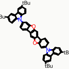 CC(C)(C)c1ccc2c(c1)c1cc(C(C)(C)C)ccc1n2-c1ccc2c(c1)oc1cc3c(cc12)oc1cc(-n2c4ccc(C(C)(C)C)cc4c4cc(C(C)(C)C)ccc42)ccc13